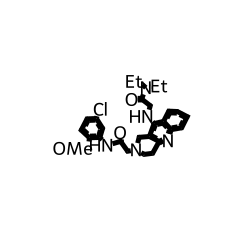 CCN(CC)C(=O)CNc1c2c(nc3ccccc13)CCN(CC(=O)Nc1cc(Cl)ccc1OC)C2